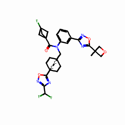 CC1(c2nc(-c3cccc(N(CC45CCC(c6nc(C(F)F)no6)(CC4)CC5)C(=O)C45CC(F)(C4)C5)c3)no2)COC1